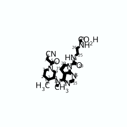 C[C@@H]1CCN(C(=O)CC#N)C[C@@H]1N(C)c1ncnc2c1ccn2C(=O)NCCNC(=O)O